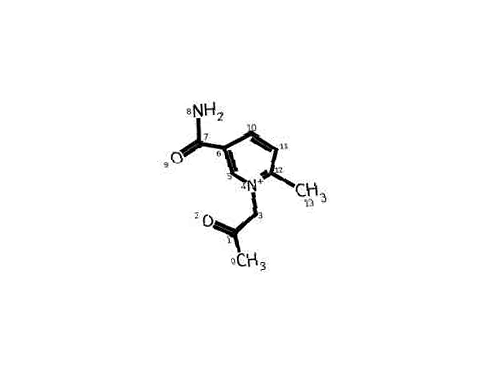 CC(=O)C[n+]1cc(C(N)=O)ccc1C